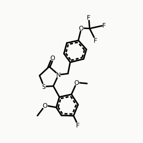 COc1cc(F)cc(OC)c1C1SCC(=O)N1Cc1ccc(OC(F)(F)F)cc1